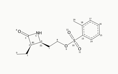 CC[C@H]1C(=O)N[C@H]1CCOS(=O)(=O)c1ccccc1C